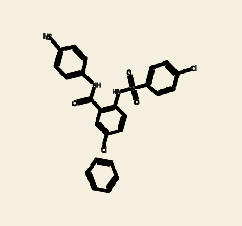 O=C(Nc1ccc(S)cc1)c1cc(Cl)ccc1NS(=O)(=O)c1ccc(Cl)cc1.c1ccccc1